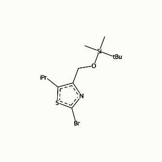 CC(C)c1sc(Br)nc1CO[Si](C)(C)C(C)(C)C